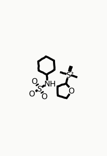 C=[S+](C)(C)C1CCCO1.O=S(=O)([O-])NC1CCCCC1